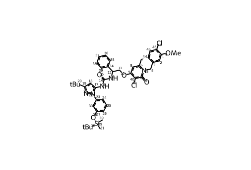 COc1cc(Cn2c(C)cc(OCC(NC(=O)Nc3cc(C(C)(C)C)nn3-c3cccc(O[Si](C)(C)C(C)(C)C)c3)c3ccccc3)c(Cl)c2=O)ccc1Cl